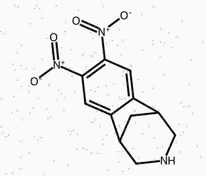 O=[N+]([O-])c1cc2c(cc1[N+](=O)[O-])C1CNCC2C1